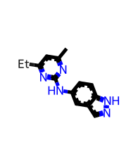 CCc1cc(C)nc(Nc2ccc3[nH]ncc3c2)n1